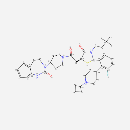 CC(C)(C)CCN1C(=O)[C@H](CC(=O)N2CCC(N3CCc4ccccc4NC3=O)CC2)SC1c1cccc(F)c1C1CCN(C2CCC2)CC1